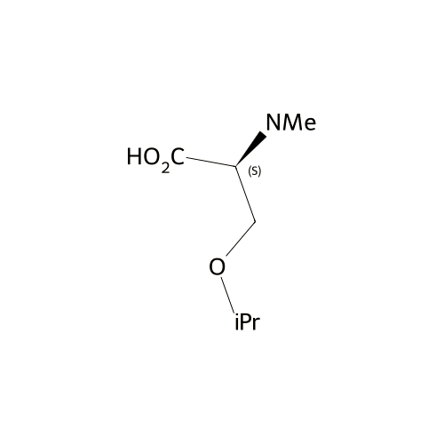 CN[C@@H](COC(C)C)C(=O)O